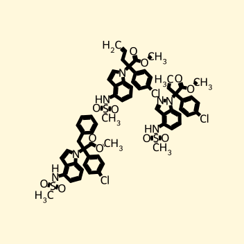 C=CCC(C(=O)OC)(c1ccc(Cl)cc1)n1ccc2c(NS(C)(=O)=O)cccc21.CCC(C(=O)OC)(c1ccc(Cl)cc1)n1ncc2c(NS(C)(=O)=O)cccc21.COC(=O)C(Cc1ccccc1)(c1ccc(Cl)cc1)n1ccc2c(NS(C)(=O)=O)cccc21